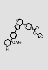 CO[C@]1(C2C=CC(c3cc4c(N5CCN(C(=O)OC6COC6)CC5)ccnn4c3)=CC2)CCCNC1